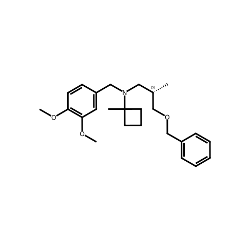 COc1ccc(CN(C[C@H](C)COCc2ccccc2)C2(C)CCC2)cc1OC